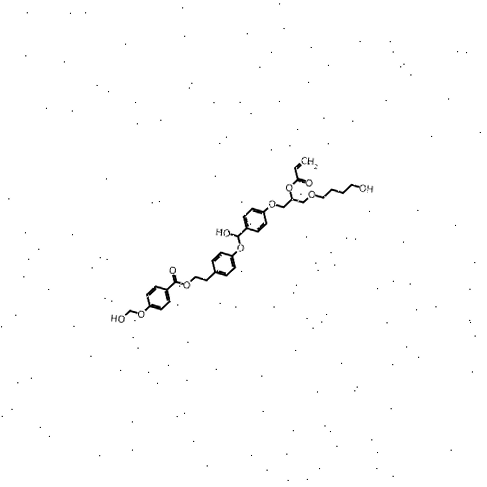 C=CC(=O)OC(COCCCCO)COc1ccc(C(O)Oc2ccc(CCOC(=O)c3ccc(OCO)cc3)cc2)cc1